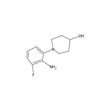 Nc1c(F)cccc1N1CCC(O)CC1